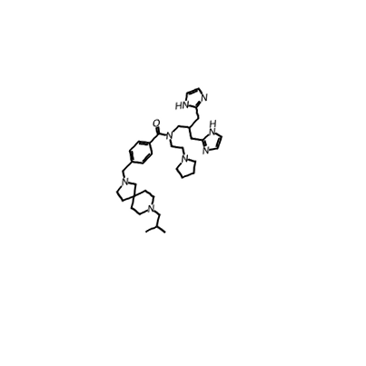 CC(C)CN1CCC2(CC1)CCN(Cc1ccc(C(=O)N(CCN3CCCC3)CC(Cc3ncc[nH]3)Cc3ncc[nH]3)cc1)C2